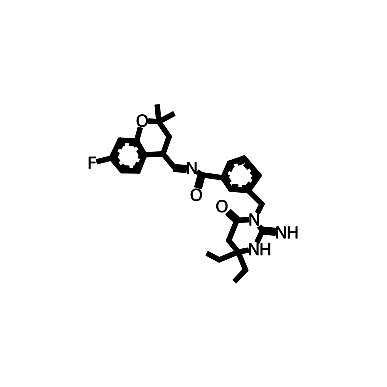 CCC1(CC)CC(=O)N(Cc2cccc(C(=O)/N=C/C3CC(C)(C)Oc4cc(F)ccc43)c2)C(=N)N1